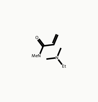 C=CC(=O)NC.CCN(C)C